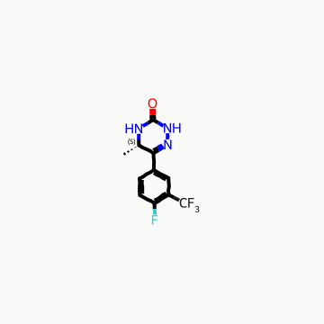 C[C@@H]1NC(=O)NN=C1c1ccc(F)c(C(F)(F)F)c1